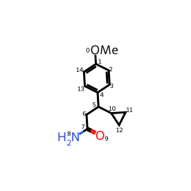 COc1ccc(C(CC(N)=O)C2CC2)cc1